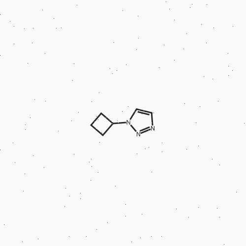 [c]1cn(C2CCC2)nn1